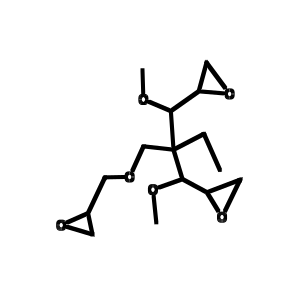 CCC(COCC1CO1)(C(OC)C1CO1)C(OC)C1CO1